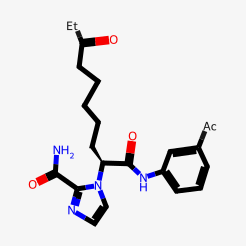 CCC(=O)CCCCC[C@@H](C(=O)Nc1cccc(C(C)=O)c1)n1ccnc1C(N)=O